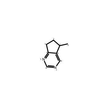 CC1CCc2ncncc21